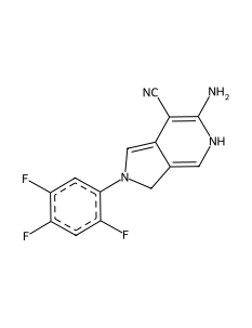 N#CC1=C(N)NC=C2CN(c3cc(F)c(F)cc3F)C=C21